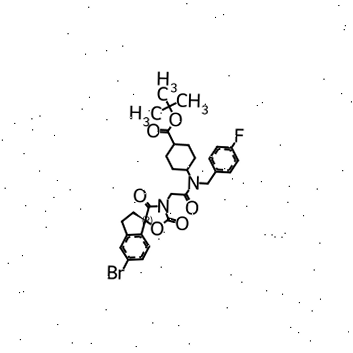 CC(C)(C)OC(=O)C1CCC(N(Cc2ccc(F)cc2)C(=O)CN2C(=O)O[C@@]3(CCc4cc(Br)ccc43)C2=O)CC1